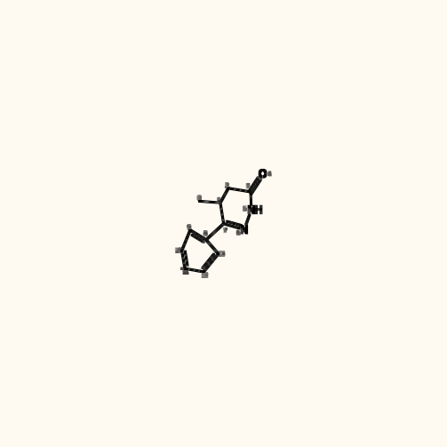 CC1CC(=O)NN=C1c1cc[c]cc1